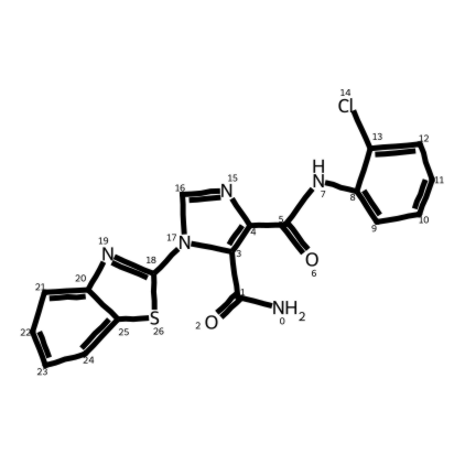 NC(=O)c1c(C(=O)Nc2ccccc2Cl)ncn1-c1nc2ccccc2s1